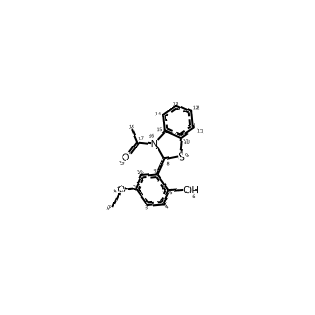 COc1ccc(O)c(C2Sc3ccccc3N2C(C)=O)c1